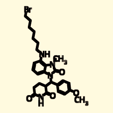 COc1ccc(C(C2CCC(=O)NC2=O)n2c(=O)n(C)c3c(NCCCCCCCBr)cccc32)cc1